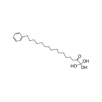 O=C(CCCCCCCCCCCCCCc1ccccc1)C(O)(O)O